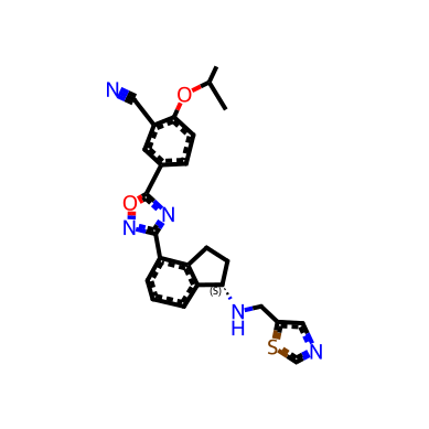 CC(C)Oc1ccc(-c2nc(-c3cccc4c3CC[C@@H]4NCc3cncs3)no2)cc1C#N